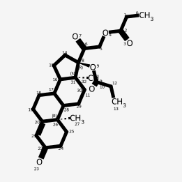 CCC(=O)OCC(=O)[C@@]1(OC(=O)CC)CCC2C3CCC4=CC(=O)CC[C@]4(C)C3CC[C@@]21C